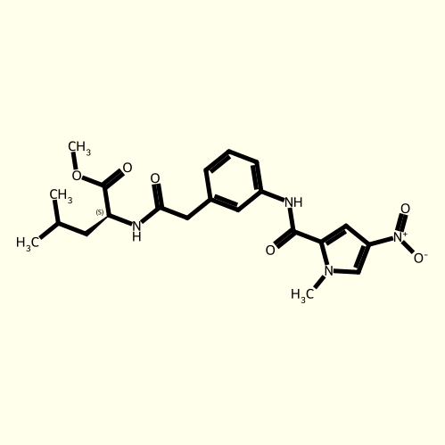 COC(=O)[C@H](CC(C)C)NC(=O)Cc1cccc(NC(=O)c2cc([N+](=O)[O-])cn2C)c1